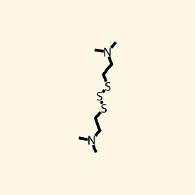 CN(C)CCSSSCCN(C)C